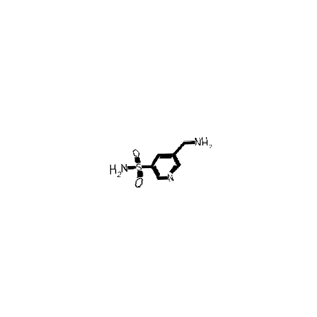 NCc1cncc(S(N)(=O)=O)c1